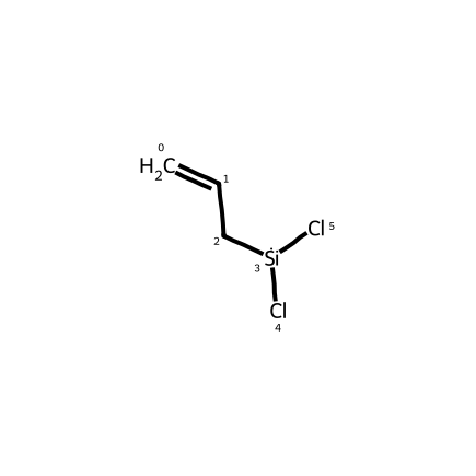 C=CC[Si](Cl)Cl